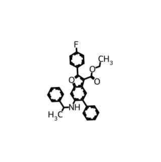 CCOC(=O)c1c(-c2ccc(F)cc2)oc2cc(NC(C)c3ccccc3)c(-c3ccccc3)cc12